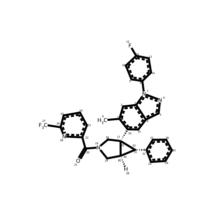 Cc1cc2c(cnn2-c2ccc(F)cc2)cc1[C@@]12CN(C(=O)c3cccc(C(F)(F)F)n3)C[C@@H]1[C@H]2c1ccccc1